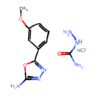 COc1cccc(-c2nnc(N)o2)c1.Cl.NNC(N)=O